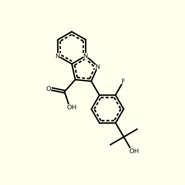 CC(C)(O)c1ccc(-c2nn3cccnc3c2C(=O)O)c(F)c1